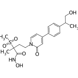 CC(CO)c1ccc(-c2ccn(CCC(C)(C(=O)NO)S(C)(=O)=O)c(=O)c2)cc1